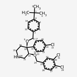 CC(C)(C)c1ccc(CO[C@]2(c3ccc(Cl)cc3)CCNC[C@@H]2OCc2ccc(Cl)c(Cl)c2)cc1